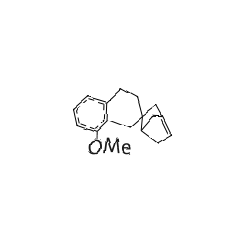 COc1cccc2c1CC1(CC2)CC2=CCC1C2